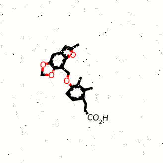 Cc1cc2cc3c(c(COc4ccc(CCC(=O)O)c(C)c4C)c2o1)OCO3